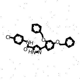 O=C(Nc1ccc(Cl)cc1)c1cc(-c2ccc(OCc3ccccc3)cc2OCc2ccccc2)n[nH]1